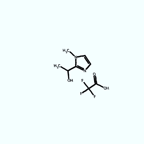 CC(O)c1nccn1C.O=C(O)C(F)(F)F